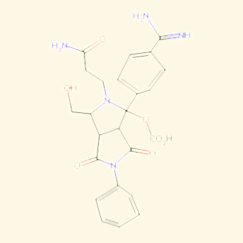 N=C(N)c1ccc(C2(OC(=O)O)C3C(=O)N(c4ccccc4)C(=O)C3C(CO)N2CCC(N)=O)cc1